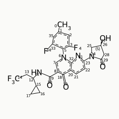 Cc1cc(F)c(-n2cc(C(=O)NC(CC(F)(F)F)C3CC3)c(=O)c3ccc(N4C[C@@H](O)CC4=O)nc32)c(F)c1